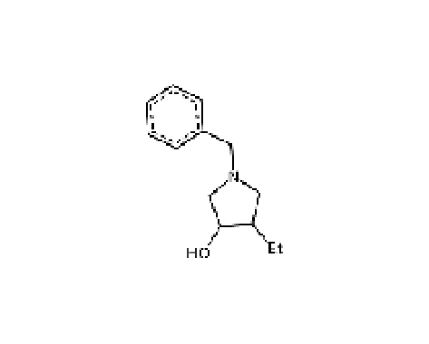 CCC1CN(Cc2ccccc2)CC1O